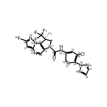 C[C@]1(C(F)(F)F)CN(C(=O)Nc2cnc(-n3nccn3)c(Cl)c2)c2cnc3cc(F)nn3c21